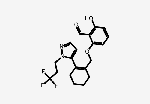 O=Cc1c(O)cccc1OCC1=C(c2ccnn2CCC(F)(F)F)CCCC1